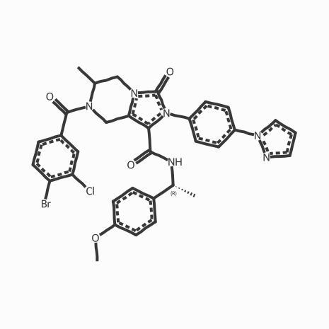 COc1ccc([C@@H](C)NC(=O)c2c3n(c(=O)n2-c2ccc(-n4cccn4)cc2)CC(C)N(C(=O)c2ccc(Br)c(Cl)c2)C3)cc1